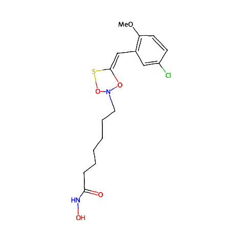 COc1ccc(Cl)cc1C=C1ON(CCCCCCC(=O)NO)OS1